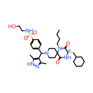 CCCCN1C(=O)[C@H](CC2CCCCC2)NC(=O)C12CCN(C(c1ccc(S(=O)(=O)NCCO)cc1)c1c(C)n[nH]c1C)CC2